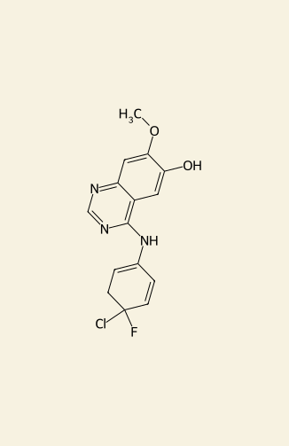 COc1cc2ncnc(NC3=CCC(F)(Cl)C=C3)c2cc1O